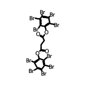 O=C(CCC(=O)Oc1c(Br)c(Br)c(Br)c(Br)c1Br)Oc1c(Br)c(Br)c(Br)c(Br)c1Br